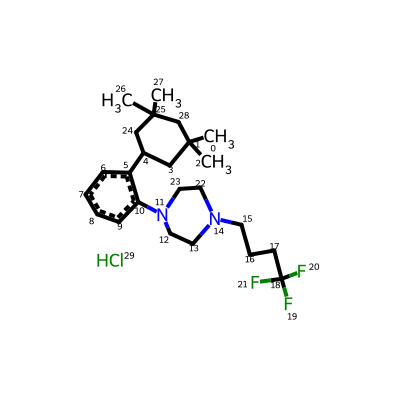 CC1(C)CC(c2ccccc2N2CCN(CCCC(F)(F)F)CC2)CC(C)(C)C1.Cl